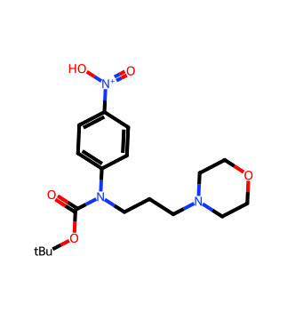 CC(C)(C)OC(=O)N(CCCN1CCOCC1)c1ccc([N+](=O)O)cc1